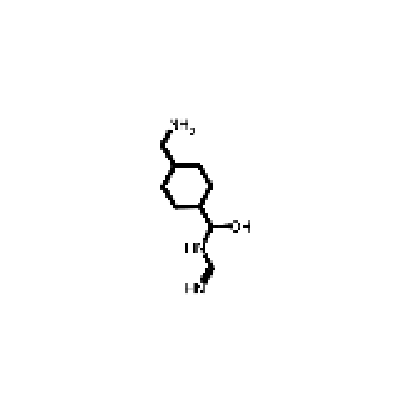 N=CN[C@H](O)C1CCC(CN)CC1